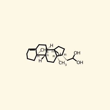 C[C@]12CC[C@H]3[C@@H](CCC4=CCCC[C@@]43C)[C@@H]1CC[C@@H]2CC(O)O